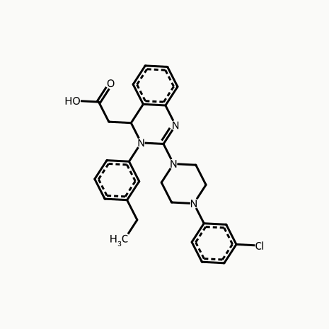 CCc1cccc(N2C(N3CCN(c4cccc(Cl)c4)CC3)=Nc3ccccc3C2CC(=O)O)c1